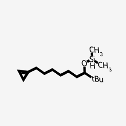 C[SiH](C)OC(CCCCCCC1=CC1)C(C)(C)C